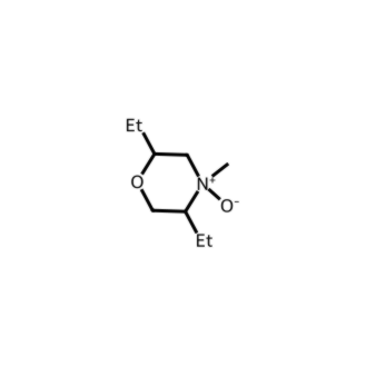 CCC1C[N+](C)([O-])C(CC)CO1